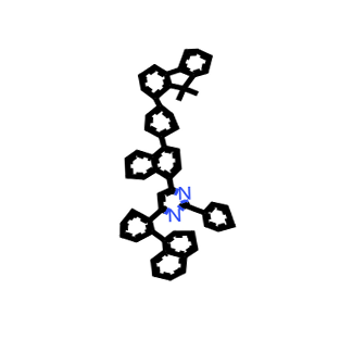 CC1(C)c2ccccc2-c2cccc(-c3ccc(-c4ccc(-c5cc(-c6ccccc6-c6cccc7ccccc67)nc(-c6ccccc6)n5)c5ccccc45)cc3)c21